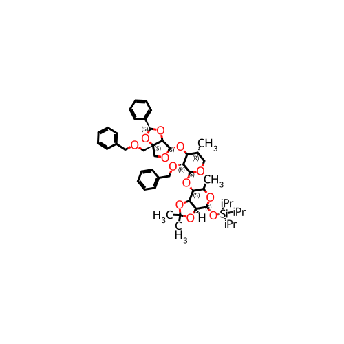 CC1O[C@@H](O[Si](C(C)C)(C(C)C)C(C)C)[C@H]2OC(C)(C)OC2[C@H]1O[C@@H]1OC[C@@H](C)C(O[C@@H]2OC[C@]3(COCc4ccccc4)O[C@@H](c4ccccc4)OC23)[C@H]1OCc1ccccc1